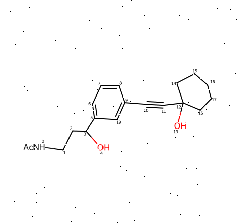 CC(=O)NCCC(O)c1cccc(C#CC2(O)CCCCC2)c1